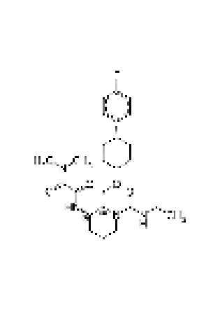 CCNC(=O)N1CCC[C@@H](NC(=O)C(=O)N(C)C)[C@@H]1CO[C@H]1CC[C@@H](c2ccc(F)cc2)CC1